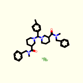 Br.Br.Cc1ccc(C(N2CCCC(C(=O)N(C)Cc3ccccc3)C2)N2CCCC(C(=O)N(C)Cc3ccccc3)C2)cc1